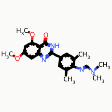 COc1cc(OC)c2c(=O)[nH]c(-c3cc(C)c(N=CN(C)C)c(C)c3)nc2c1